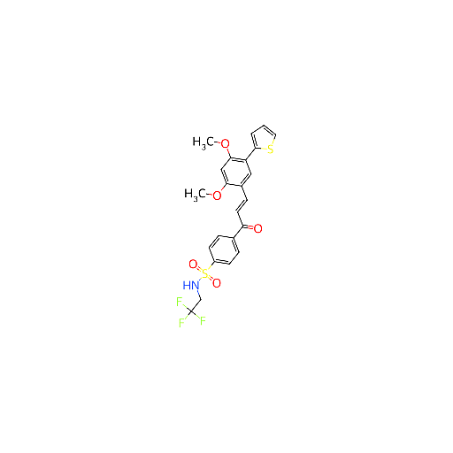 COc1cc(OC)c(-c2cccs2)cc1/C=C/C(=O)c1ccc(S(=O)(=O)NCC(F)(F)F)cc1